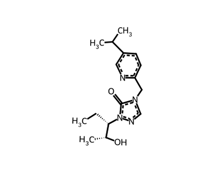 CC[C@@H]([C@@H](C)O)n1ncn(Cc2ccc(C(C)C)cn2)c1=O